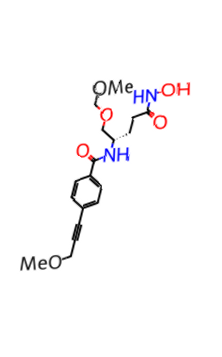 COCC#Cc1ccc(C(=O)N[C@@H](CCC(=O)NO)COCOC)cc1